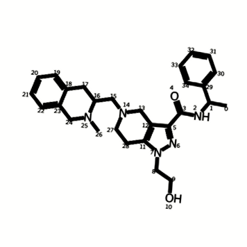 CC(NC(=O)c1nn(CCO)c2c1CN(CC1Cc3ccccc3CN1C)CC2)c1ccccc1